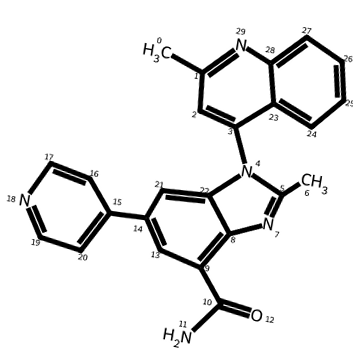 Cc1cc(-n2c(C)nc3c(C(N)=O)cc(-c4ccncc4)cc32)c2ccccc2n1